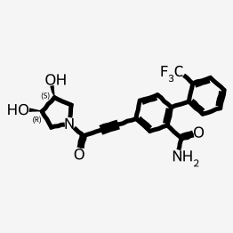 NC(=O)c1cc(C#CC(=O)N2C[C@@H](O)[C@@H](O)C2)ccc1-c1ccccc1C(F)(F)F